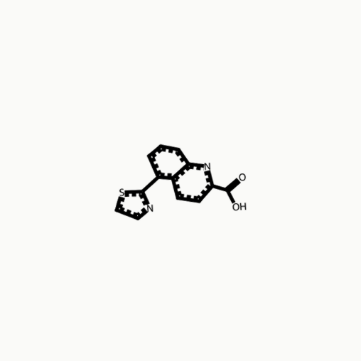 O=C(O)c1ccc2c(-c3nccs3)cccc2n1